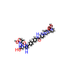 COC(=O)N[C@H](C(=O)N1C[C@@H](O)C[C@H]1c1nc(-c2ccc(-c3ccc(NC(=O)c4ccc(N5CCN(C(=O)[C@]6(C)CCCN6C(=O)OC)C[C@H]5C)nc4)cc3)cc2)c[nH]1)C(C)C